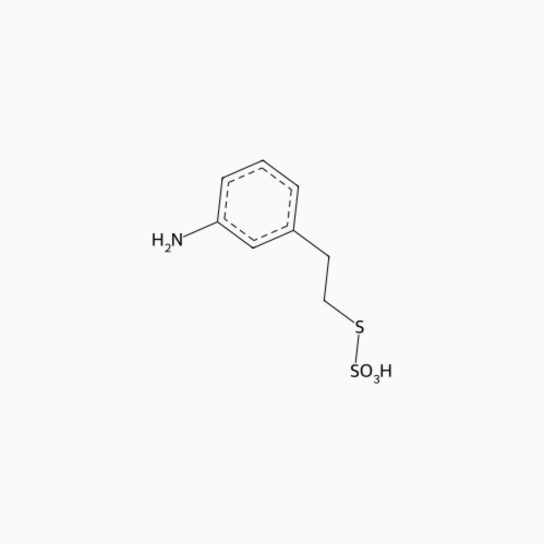 Nc1cccc(CCSS(=O)(=O)O)c1